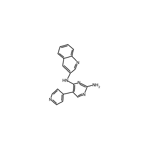 Nc1ncc(-c2ccncc2)c(Nc2cnc3ccccc3c2)n1